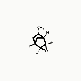 C[C@H]1C[C@@H]2C[C@H]1[C@H]1O[C@@H]21